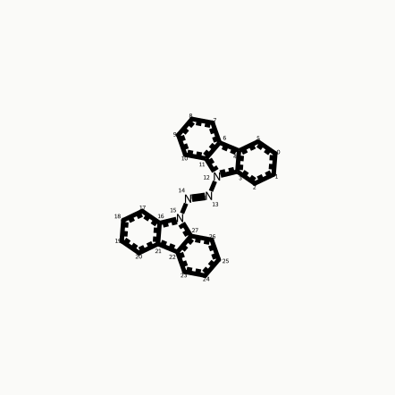 c1ccc2c(c1)c1ccccc1n2N=Nn1c2ccccc2c2ccccc21